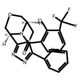 O=C(c1cccc(C(F)(F)F)c1Cl)N1[C@H]2COC[C@@H]1c1nnc(-c3ccccn3)n1C2